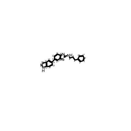 c1ccc(CCCNc2nc3ccc(-c4ccc5[nH]ncc5c4)cc3s2)cc1